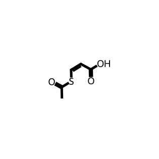 CC(=O)S/C=C\C(=O)O